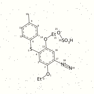 CCOc1cc(Sc2ccc(C)cc2)c(OCC)cc1[N+]#N.O=S(=O)([O-])O